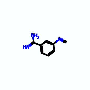 C=[N+]c1cccc(C(=N)N)c1